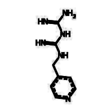 N=C(N)NC(=N)NCc1ccncc1